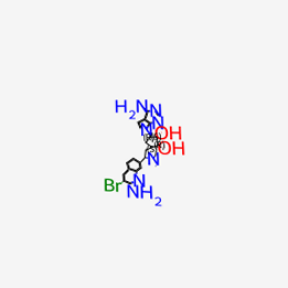 CN1C[C@]2(CC1c1ccc3cc(Br)c(N)nc3c1)C[C@@H](n1ccc3c(N)ncnc31)[C@H](O)[C@@H]2O